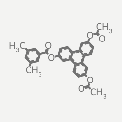 CC(=O)Oc1ccc2c(c1)c1ccc(OC(C)=O)cc1c1ccc(OC(=O)c3cc(C)cc(C)c3)cc21